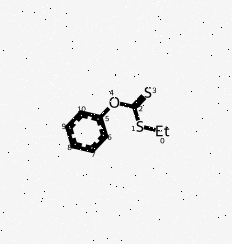 CCSC(=S)Oc1ccccc1